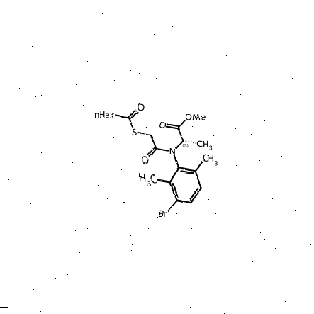 CCCCCCC(=O)SCC(=O)N(c1c(C)ccc(Br)c1C)[C@@H](C)C(=O)OC